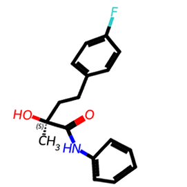 C[C@](O)(CCc1ccc(F)cc1)C(=O)Nc1ccccc1